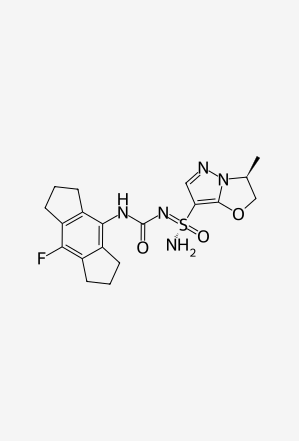 C[C@H]1COc2c([S@@](N)(=O)=NC(=O)Nc3c4c(c(F)c5c3CCC5)CCC4)cnn21